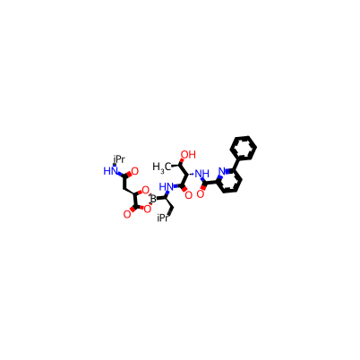 CC(C)C[C@H](NC(=O)[C@@H](NC(=O)c1cccc(-c2ccccc2)n1)[C@@H](C)O)B1OC(=O)[C@@H](CC(=O)NC(C)C)O1